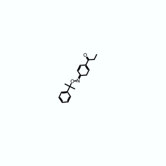 CCC(=O)C1=CCC(=NOC(C)(C)c2ccccc2)C=C1